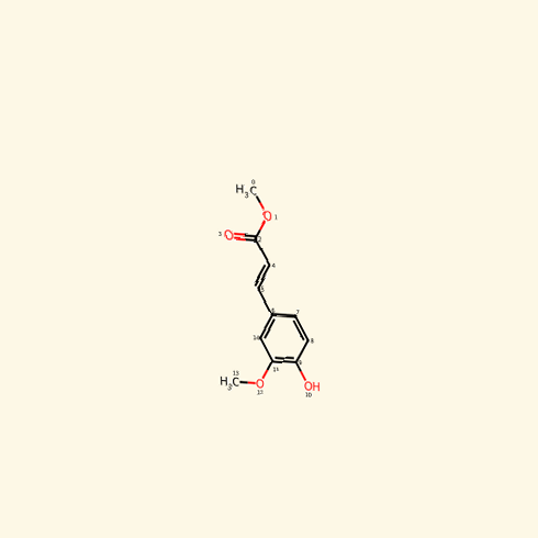 COC(=O)/C=C/c1ccc(O)c(OC)c1